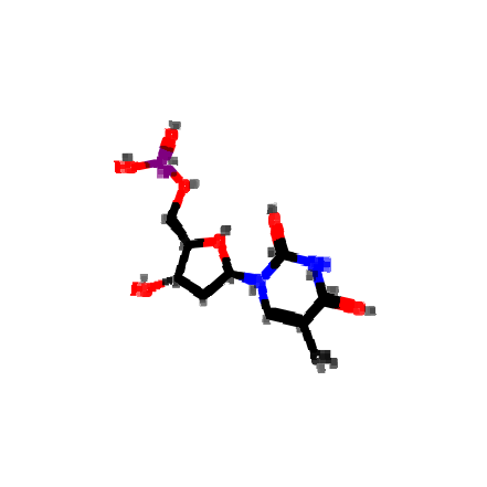 Cc1cn([C@H]2C[C@H](O)[C@@H](CO[PH](=O)O)O2)c(=O)[nH]c1=O